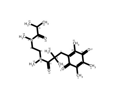 CC1=C(C)C(=O)C(CC(C)(C)C(=O)N(C)CCN(C)C(=O)C(C)C)=C(C)C1=O